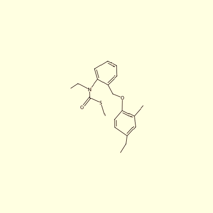 CCc1ccc(OCc2ccccc2N(CC)C(=O)SC)c(C)c1